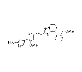 COCc1ccccc1[C@H]1CCCn2nc(/C=C/c3ccc(-n4cnc(C)c4)c(OC)c3)nc21